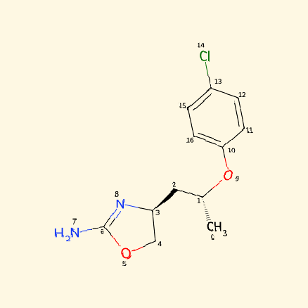 C[C@H](C[C@H]1COC(N)=N1)Oc1ccc(Cl)cc1